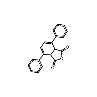 O=C1OC(=O)C2C(c3ccccc3)=CC=C(c3ccccc3)C12